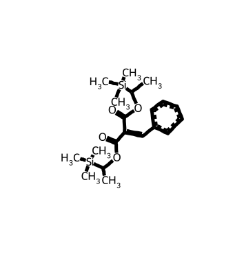 CC(OC(=O)C(=Cc1ccccc1)C(=O)OC(C)[Si](C)(C)C)[Si](C)(C)C